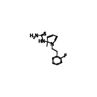 CC1(NC(N)=S)C=CC=CN1CCc1ccccc1F